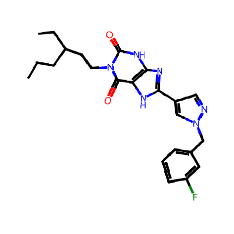 CCCC(CC)CCn1c(=O)[nH]c2nc(-c3cnn(Cc4cccc(F)c4)c3)[nH]c2c1=O